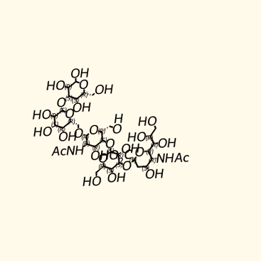 CC(=O)N[C@H]1[C@H](OC[C@H]2O[C@@H](O[C@H]3[C@@H](O)[C@@H](CO)OC(O)[C@@H]3O)[C@H](O)[C@@H](O)[C@H]2O)O[C@H](CO)[C@@H](O[C@@H]2O[C@H](CO)[C@H](O)[C@H](O[C@]3(C(=O)O)C[C@H](O)[C@@H](NC(C)=O)[C@H]([C@H](O)[C@H](O)CO)O3)[C@H]2O)[C@@H]1O